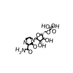 NC(=O)c1nccn([C@@H]2O[C@H](COP(=O)(O)O)[C@@H](O)[C@H]2O)c1=O